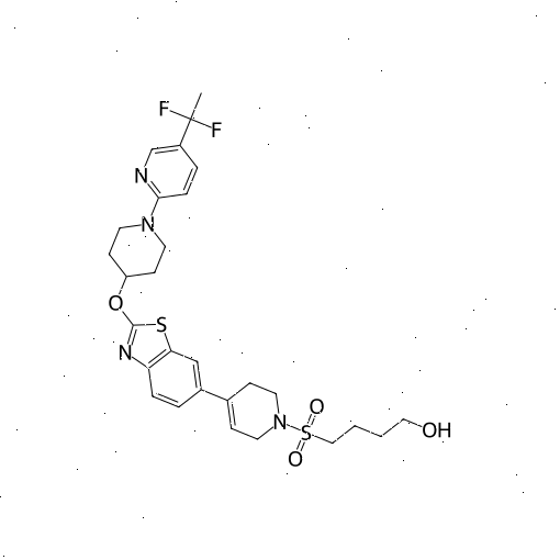 CC(F)(F)c1ccc(N2CCC(Oc3nc4ccc(C5=CCN(S(=O)(=O)CCCCO)CC5)cc4s3)CC2)nc1